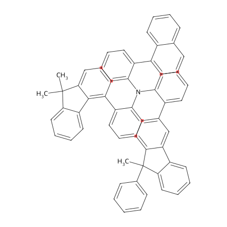 CC1(C)c2ccccc2-c2c(-c3ccccc3N(c3ccccc3-c3ccc4c(c3)-c3ccccc3C4(C)c3ccccc3)c3ccccc3-c3cccc4ccccc34)cccc21